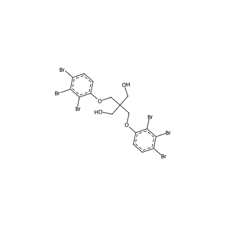 OCC(CO)(COc1ccc(Br)c(Br)c1Br)COc1ccc(Br)c(Br)c1Br